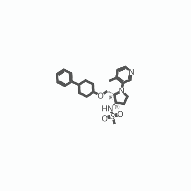 Cc1ccncc1N1CC[C@H](NS(C)(=O)=O)[C@@H]1COC1CCC(c2ccccc2)CC1